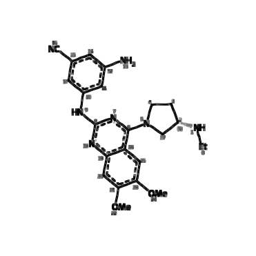 CCN[C@H]1CCN(c2nc(Nc3cc(N)cc(C#N)c3)nc3cc(OC)c(OC)cc23)C1